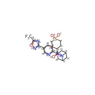 O=C(C1CCS(=O)(=O)CC1)N1C2CC1CN(c1ccc(-c3noc(C(F)(F)F)n3)cn1)C2